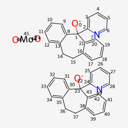 [O-]C1(c2ccccn2)c2ccccc2CCc2ccccc21.[O-]C1(c2ccccn2)c2ccccc2CCc2ccccc21.[O]=[Mo+2]=[O]